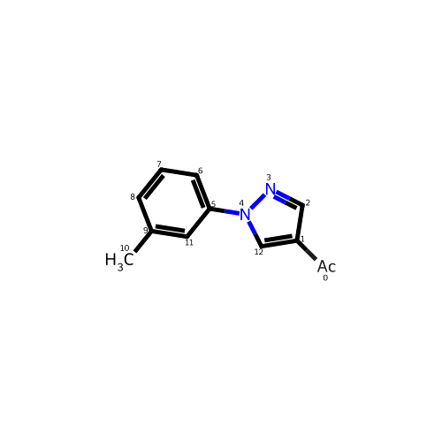 CC(=O)c1cnn(-c2cccc(C)c2)c1